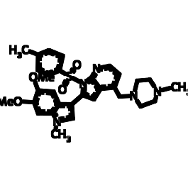 COc1cc2c(-c3cc4c(CN5CCN(C)CC5)ccnc4n3S(=O)(=O)c3ccc(C)cc3)cn(C)c2cc1OC